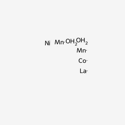 O.O.[Co].[La].[Mn].[Mn].[Ni]